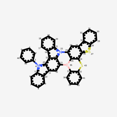 c1ccc(-n2c3ccccc3c3cc4c5c(c6ccccc6n5-c5cc6c(sc7ccccc76)c6c5B4c4ccccc4S6)c32)cc1